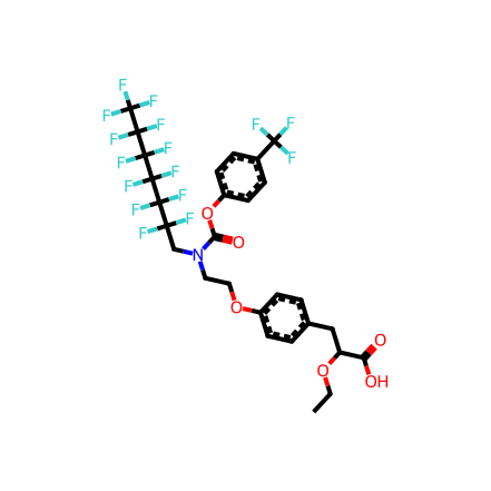 CCOC(Cc1ccc(OCCN(CC(F)(F)C(F)(F)C(F)(F)C(F)(F)C(F)(F)C(F)(F)F)C(=O)Oc2ccc(C(F)(F)F)cc2)cc1)C(=O)O